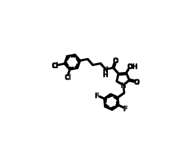 O=C(NCCCc1ccc(Cl)c(Cl)c1)C1=C(O)C(=O)N(Cc2cc(F)ccc2F)C1